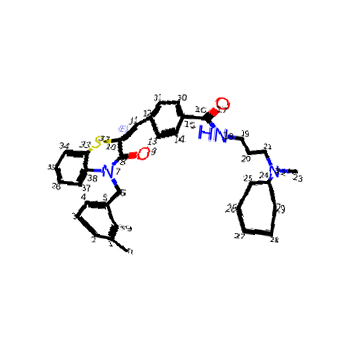 Cc1cccc(CN2C(=O)/C(=C\c3ccc(C(=O)NCCCN(C)C4CCCCC4)cc3)Sc3ccccc32)c1